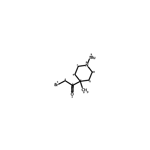 CC1(C(=O)CBr)CCN(C(C)(C)C)CC1